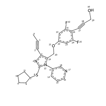 CC#Cc1nc(SC2CCCC2)n(-c2cccnc2)c1COc1cc(F)c(C#CCO)c(F)c1